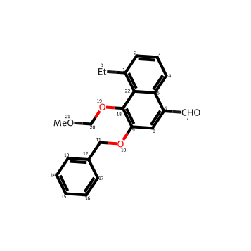 CCc1cccc2c(C=O)cc(OCc3ccccc3)c(OCOC)c12